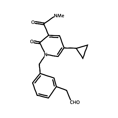 CNC(=O)c1cc(C2CC2)cn(Cc2cccc(CC=O)c2)c1=O